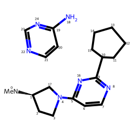 CN[C@@H]1CCN(c2ccnc(C3CCCCC3)n2)C1.Nc1ccncn1